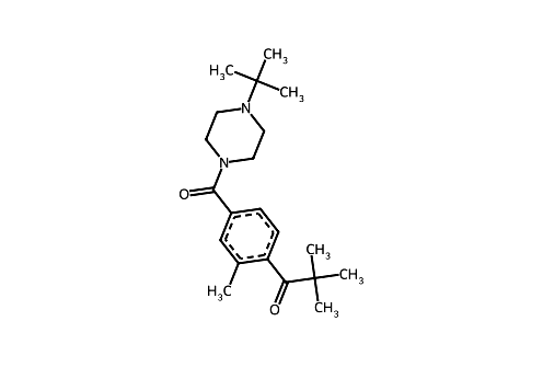 Cc1cc(C(=O)N2CCN(C(C)(C)C)CC2)ccc1C(=O)C(C)(C)C